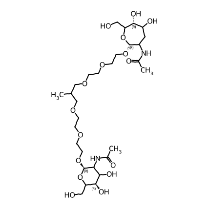 CC(=O)NC1CC(O)[C@@H](O)C(CO)O[C@H]1OCCOCCOCC(C)COCCOCCO[C@@H]1OC(CO)[C@H](O)C(O)C1NC(C)=O